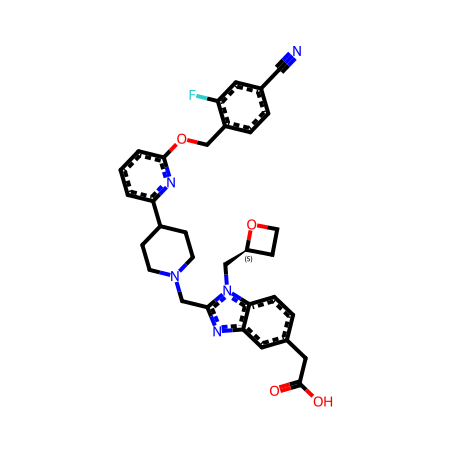 N#Cc1ccc(COc2cccc(C3CCN(Cc4nc5cc(CC(=O)O)ccc5n4C[C@@H]4CCO4)CC3)n2)c(F)c1